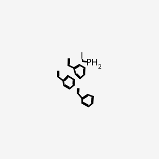 C=Cc1ccccc1.C=Cc1ccccc1.C=Cc1ccccc1.PCI